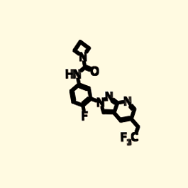 O=C(Nc1ccc(F)c(-n2cc3cc(CC(F)(F)F)cnc3n2)c1)N1CCC1